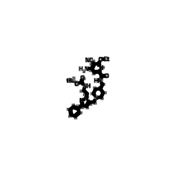 CCOc1nc(C(=O)NCC2CCN(Cc3cc(-c4ccccc4)nn3CCNC(=O)OC(C)(C)C)CC2)cc(N)c1C#N